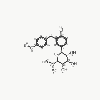 CCCN(C(C)=O)[C@H]1O[C@@H](c2ccc(Cl)c(Cc3ccc(OCC)cc3)c2)[C@H](O)[C@@H](O)[C@@H]1O